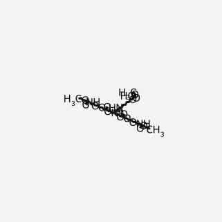 CCCOC(=O)NCCOCCOCC(=O)OCCN(CCOC(=O)COCCOCCNC(=O)OCCC)CC(=O)NCCCCCCOP(=O)(O)OC